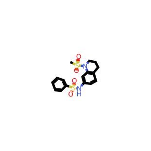 CS(=O)(=O)N1CCCc2ccc(NS(=O)(=O)c3ccccc3)cc21